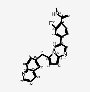 C=C(NC)c1ccc(-c2cnc3ccc(Cc4ccc5ncccc5c4)n3n2)cc1F